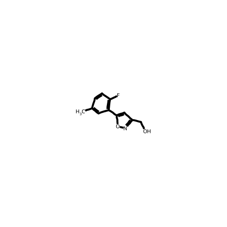 Cc1ccc(F)c(-c2cc(CO)no2)c1